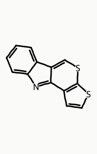 c1ccc2c3csc4sccc4c-3nc2c1